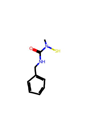 CN(S)C(=O)NCc1ccccc1